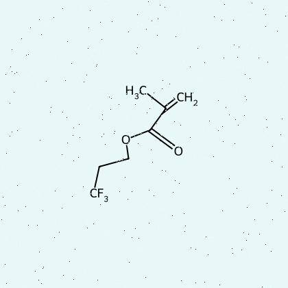 C=C(C)C(=O)OCCC(F)(F)F